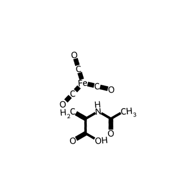 C=C(NC(C)=O)C(=O)O.O=[C]=[Fe](=[C]=O)=[C]=O